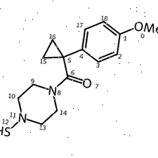 COc1ccc(C2(C(=O)N3CCN(S)CC3)CC2)cc1